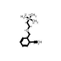 C#CC1C=CC=CC1COCC[Si](C)(C)C